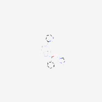 Cc1ccnc(N2CC[C@@H]3CN(C(=O)c4cc(F)ccc4-n4nccn4)[C@@H]3C2)c1